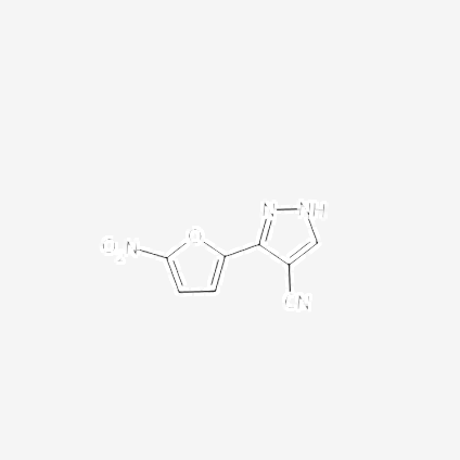 N#Cc1c[nH]nc1-c1ccc([N+](=O)[O-])o1